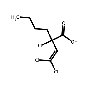 CCCCC(Cl)(C=C(Cl)Cl)C(=O)O